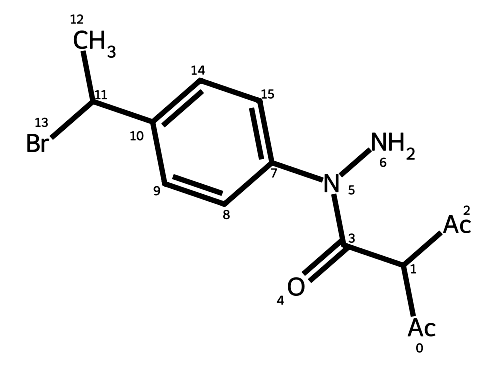 CC(=O)C(C(C)=O)C(=O)N(N)c1ccc(C(C)Br)cc1